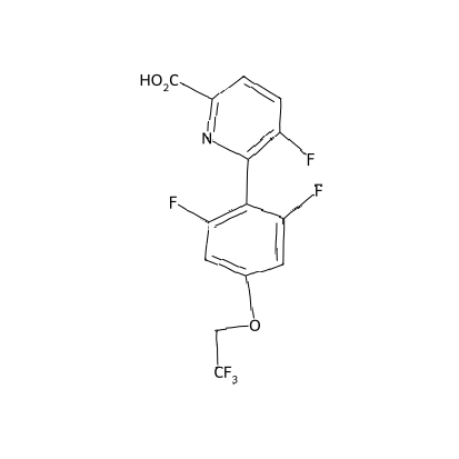 O=C(O)c1ccc(F)c(-c2c(F)cc(OCC(F)(F)F)cc2F)n1